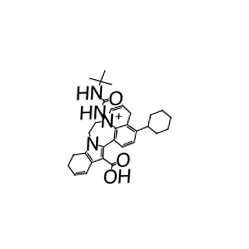 CC(C)(C)NC(=O)N[N@+]12C=CCc3c(C4CCCCC4)ccc(c31)-c1c(C(=O)O)c3c(n1CC2)CCC=C3